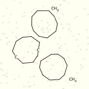 C.C.C1CCCCCCCCC1.C1CCCCCCCCC1.C1CCCCCCCCC1